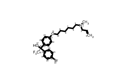 C=CCN(C)CCCCCCOc1ccc([C@](O)(c2ccc(Br)cc2)C(F)(F)F)cc1